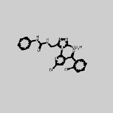 CCc1cc(C(=O)c2ccccc2Cl)c(-n2c(CNC(=O)Nc3ccccc3)nnc2C(=O)O)s1